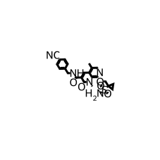 Cc1cnc(OCC2(S(N)(=O)=O)CC2)c2c1cc(C(=O)NCc1ccc(C#N)cc1)c(=O)n2C